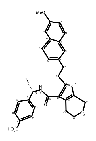 COc1ccc2cc(CCc3sc4c(c3C(=O)N[C@@H](C)c3ccc(C(=O)O)cc3)CCOC4)ccc2c1